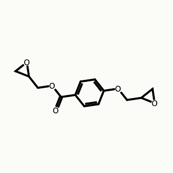 O=C(OCC1CO1)c1ccc(OCC2CO2)cc1